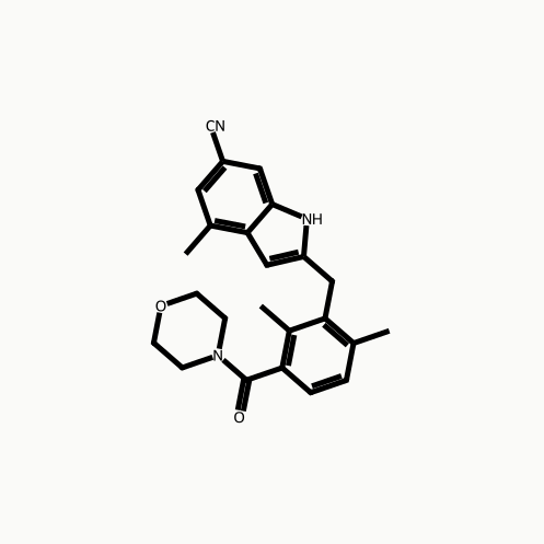 Cc1ccc(C(=O)N2CCOCC2)c(C)c1Cc1cc2c(C)cc(C#N)cc2[nH]1